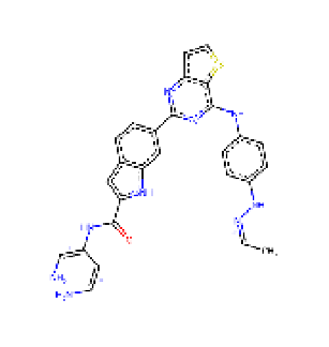 C/C=N\Nc1ccc(Nc2nc(-c3ccc4cc(C(=O)NC(/C=C\N)=C/N)[nH]c4c3)nc3ccsc23)cc1